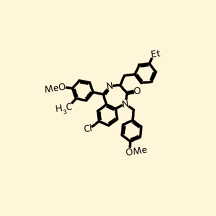 CCc1cccc(CC2N=C(c3ccc(OC)c(C)c3)c3cc(Cl)ccc3N(Cc3ccc(OC)cc3)C2=O)c1